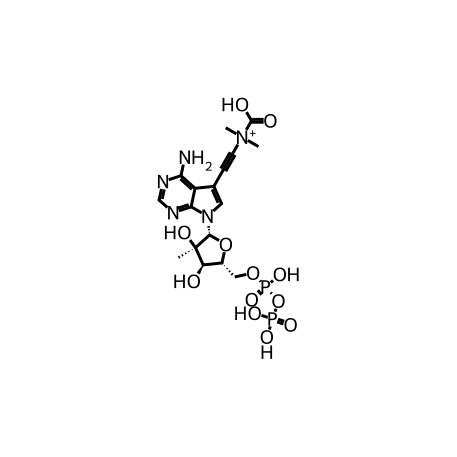 C[C@@]1(O)[C@H](O)[C@@H](COP(=O)(O)OP(=O)(O)O)O[C@H]1n1cc(C#C[N+](C)(C)C(=O)O)c2c(N)ncnc21